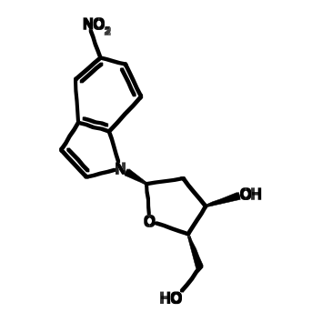 O=[N+]([O-])c1ccc2c(ccn2[C@H]2C[C@@H](O)[C@@H](CO)O2)c1